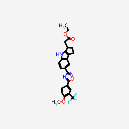 CCOC(=O)CC1CCc2c1[nH]c1ccc(-c3noc(-c4ccc(OC)c(C(F)(F)F)c4)n3)cc21